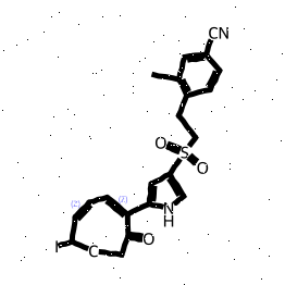 Cc1cc(C#N)ccc1CCS(=O)(=O)c1c[nH]c(/C2=C/C=C\C(I)CCC2=O)c1